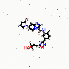 Cc1ccc(-c2noc(CCC(C)(C)O)n2)cc1NC(=O)c1cnc2cc(N3CCCC3=O)ccn12